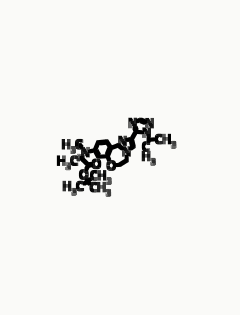 CC(C)n1ncnc1-c1cn2c(n1)-c1ccc(N(C)[C@@H](C)C(=O)OC(C)(C)C)cc1OCC2